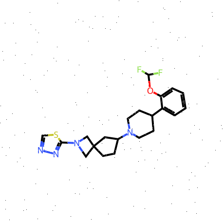 FC(F)Oc1ccccc1C1CCN(C2CCC3(C2)CN(c2nncs2)C3)CC1